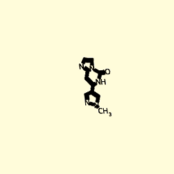 Cn1cc(-c2cc3nccn3c(=O)[nH]2)cn1